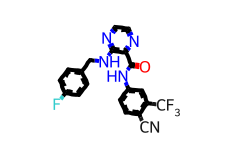 N#Cc1ccc(NC(=O)c2nccnc2NCc2ccc(F)cc2)cc1C(F)(F)F